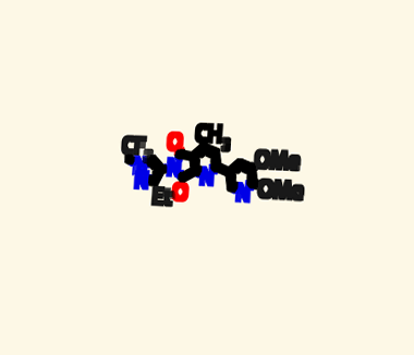 CCO[C@@H]1c2nc(-c3cnc(OC)c(OC)c3)cc(C)c2C(=O)N1c1cnn(CC(F)(F)F)c1